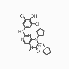 CN1C(=O)[C@@H](CN2CCCC2)N(C2CCCC2)c2nc(Nc3cc(Cl)c(O)c(Cl)c3)ncc21